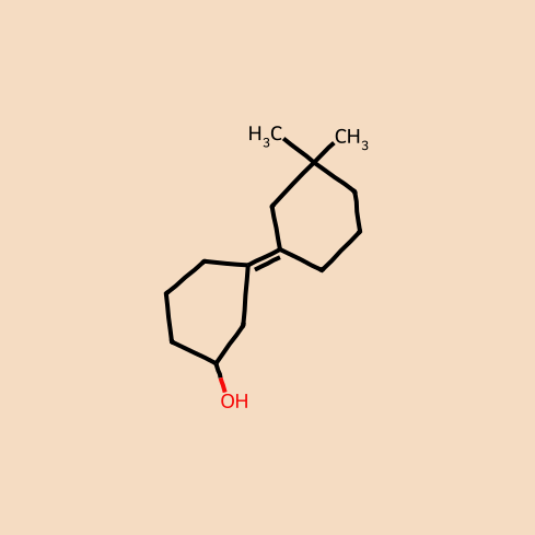 CC1(C)CCCC(=C2CCCC(O)C2)C1